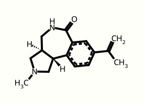 C=C(C)c1ccc2c(c1)C(=O)NC[C@@H]1CN(C)C[C@@H]21